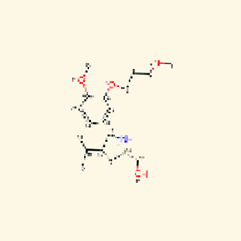 COCCCOc1cc([C@@H]2N[C@H](CO)C[C@H]2C(C)C)ccc1OC